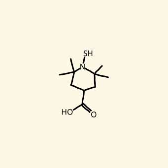 CC1(C)CC(C(=O)O)CC(C)(C)N1S